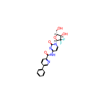 O=C(Nc1ccn([C@@H]2O[C@H](CO)[C@@H](O)C2(F)F)c(=O)n1)c1ccc(-c2ccccc2)cn1